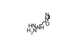 N=C(N)NCCCC(=O)n1ccnc1